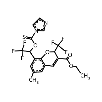 CCOC(=O)C1=Cc2cc(C)cc(C(OC(=S)n3ccnc3)C(F)(F)F)c2OC1C(F)(F)F